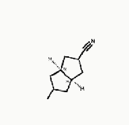 C[C]1C[C@@H]2CC(C#N)C[C@@H]2C1